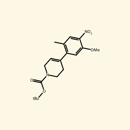 COc1cc(C2=CCN(C(=O)OC(C)(C)C)CC2)c(C)cc1[N+](=O)[O-]